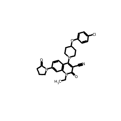 CCn1c(=O)c(C#N)c(N2CCC(Oc3ccc(Cl)cc3)CC2)c2ccc(N3CCCC3=O)cc21